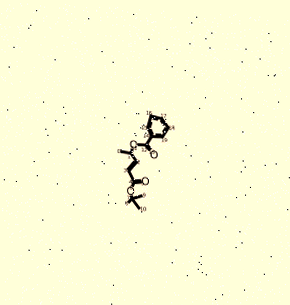 CC(C=CC(=O)OC(C)(C)C)OC(=O)c1ccccc1